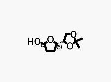 CC1(C)OCC([C@@H]2CC[C@@H](O)O2)O1